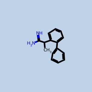 CC(C(=N)N)c1ccccc1-c1ccccc1